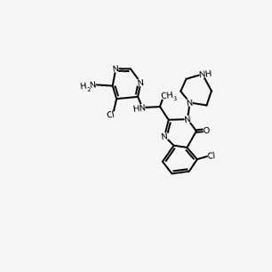 CC(Nc1ncnc(N)c1Cl)c1nc2cccc(Cl)c2c(=O)n1N1CCNCC1